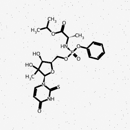 CC(C)OC(=O)[C@H](C)N[P@@](=O)(OC[C@H]1O[C@@H](n2ccc(=O)[nH]c2=S)C(C)(O)[C@H]1O)Oc1ccccc1